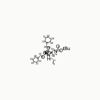 C=CC[C@H]1CN(C(=O)OC(C)(C)C)C[C@@]1(NC(=O)OCc1ccccc1)C(=O)OCc1ccccc1